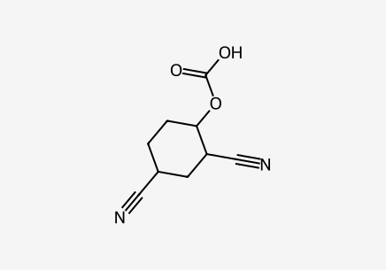 N#CC1CCC(OC(=O)O)C(C#N)C1